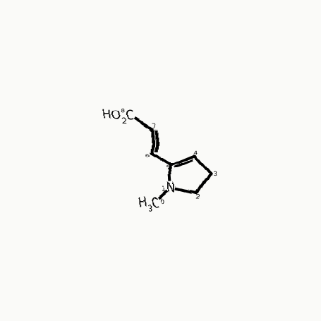 CN1CCC=C1/C=C/C(=O)O